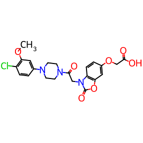 COc1cc(N2CCN(C(=O)Cn3c(=O)oc4cc(OCC(=O)O)ccc43)CC2)ccc1Cl